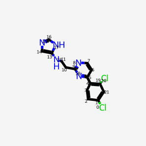 Clc1ccc(-c2ccnc(CCNc3cnc[nH]3)n2)c(Cl)c1